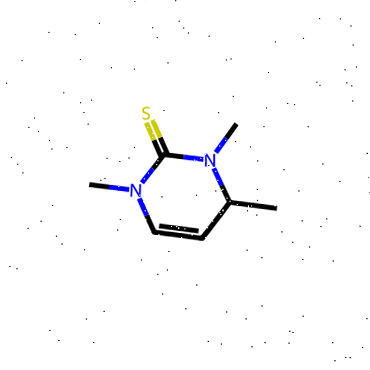 CC1C=CN(C)C(=S)N1C